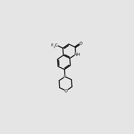 O=c1cc(C(F)(F)F)c2ccc(N3CCOCC3)cc2[nH]1